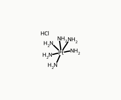 Cl.[NH2][Pt]([NH2])([NH2])([NH2])([NH2])[NH2]